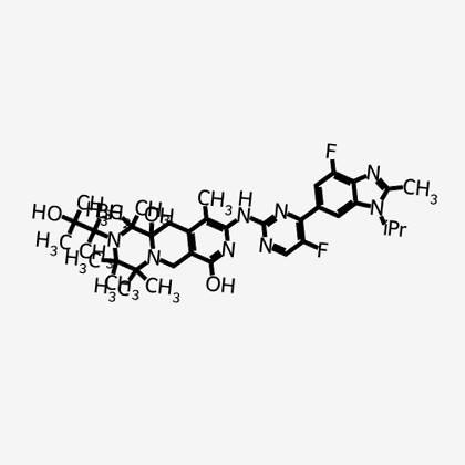 BC(C)(N1C(C)(C)C(C)(C)N2Cc3c(O)nc(Nc4ncc(F)c(-c5cc(F)c6nc(C)n(C(C)C)c6c5)n4)c(C)c3CC2(O)C1(C)C)C(C)(C)O